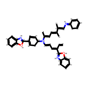 C=C/C(=C\C=C\N(/C(C)=C/C=C(C)/C(C)=C/N=C1/C=CC=CC1)C1C=CC(c2nc3ccccc3o2)=CC1)c1nc2ccccc2o1